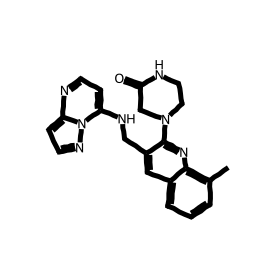 Cc1cccc2cc(CNc3ccnc4ccnn34)c(N3CCNC(=O)C3)nc12